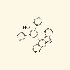 Oc1c(-c2ccccc2)cc(-c2c3ccccc3cc3sc4ccccc4c23)cc1-c1ccccc1